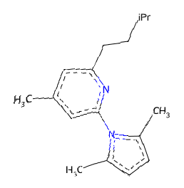 Cc1cc(CCC(C)C)nc(-n2c(C)ccc2C)c1